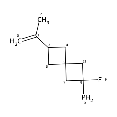 C=C(C)C1CC2(C1)CC(F)(P)C2